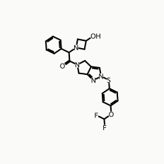 O=C(C(c1ccccc1)N1CC(O)C1)N1Cc2cn(Sc3ccc(OC(F)F)cc3)nc2C1